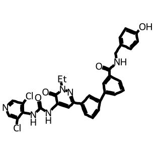 CCn1nc(-c2cccc(-c3cccc(C(=O)NCc4ccc(O)cc4)c3)c2)cc(NC(=O)Nc2c(Cl)cncc2Cl)c1=O